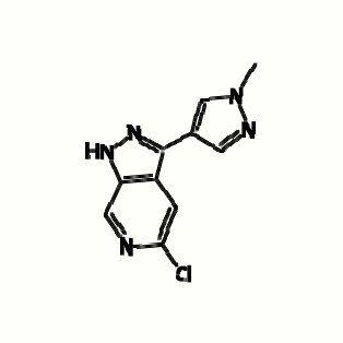 Cn1cc(-c2n[nH]c3cnc(Cl)cc23)cn1